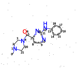 CN1CCN(C(=O)c2ccnc(Nc3ccccc3)n2)CC1